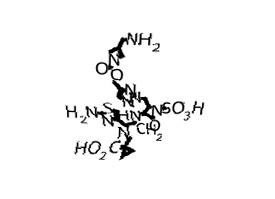 C=C(NC1C(=O)N(S(=O)(=O)O)C1Cn1ncc(COC(=O)N2CC(CN)C2)n1)/C(=N\CC1(C(=O)O)CC1)c1csc(N)n1